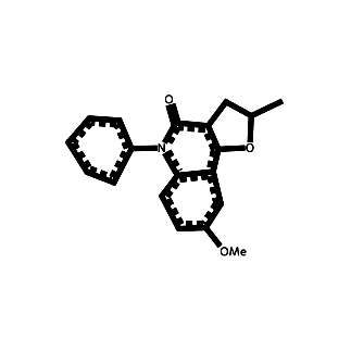 COc1ccc2c(c1)c1c(c(=O)n2-c2ccccc2)CC(C)O1